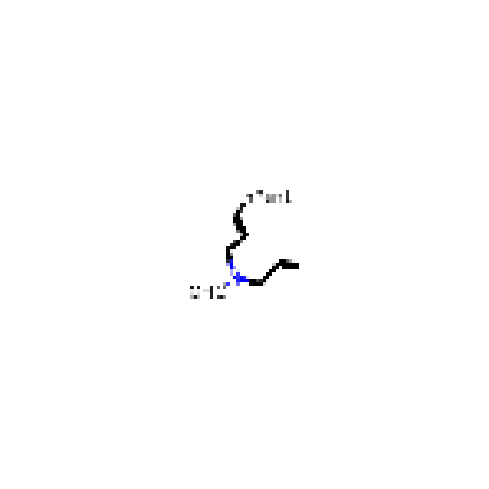 C=CCN(C=O)CC=CCCCCC